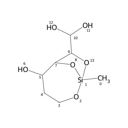 C[Si]12OCCC(O)C(O1)C(C(O)O)O2